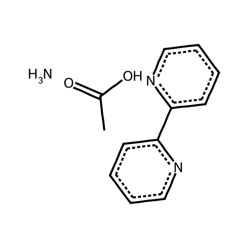 CC(=O)O.N.c1ccc(-c2ccccn2)nc1